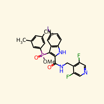 COP(=O)(c1cc(C)cc(C)c1)c1c(C(=O)NCc2c(F)cncc2F)[nH]c2ccc(I)cc12